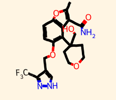 Cc1oc2ccc(OCc3c[nH]nc3C(F)(F)F)c(C3(CO)CCOCC3)c2c1C(N)=O